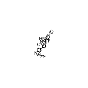 COc1nc(N[C@@H]2CN(C3COC3)CC2(F)F)nn2ccc(-c3ccc4nnn([C@@H](C)CF)c4c3)c12